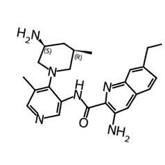 CCc1ccc2cc(N)c(C(=O)Nc3cncc(C)c3N3C[C@H](C)C[C@H](N)C3)nc2c1